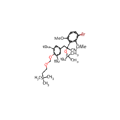 COc1ccc(Br)c(OC)c1C(C#N)(Cc1cc(C(C)(C)C)c(OCOCC[Si](C)(C)C)c(C(C)(C)C)c1)O[Si](C)(C)C(C)(C)C